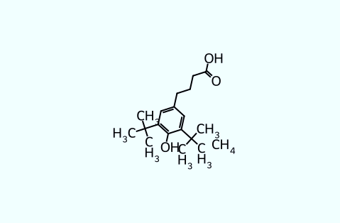 C.CC(C)(C)c1cc(CCCC(=O)O)cc(C(C)(C)C)c1O